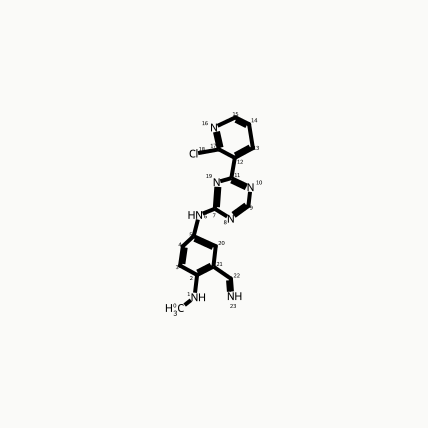 CNc1ccc(Nc2ncnc(-c3cccnc3Cl)n2)cc1C=N